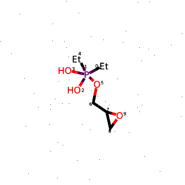 CCP(O)(O)(CC)OCC1CO1